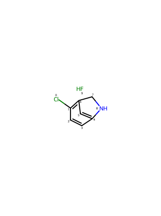 Clc1ccc2cc1CN2.F